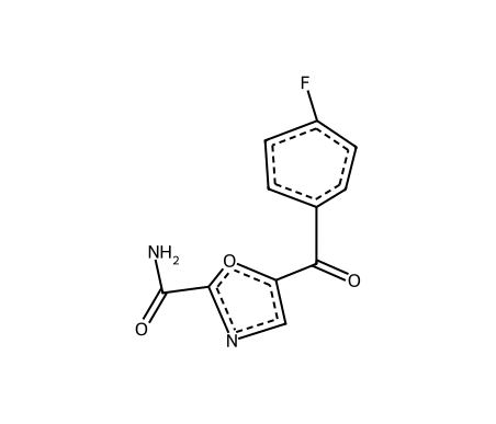 NC(=O)c1ncc(C(=O)c2ccc(F)cc2)o1